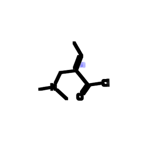 C/C=C(\CN(C)C)C(=O)Cl